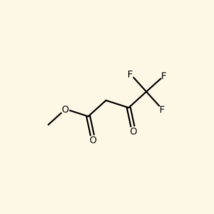 COC(=O)CC(=O)C(F)(F)F